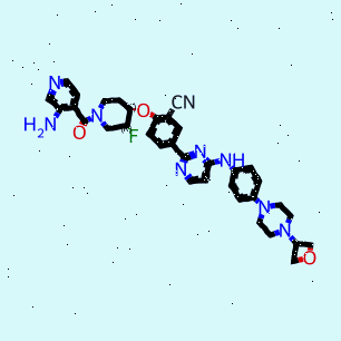 N#Cc1cc(-c2nccc(Nc3ccc(N4CCN(C5COC5)CC4)cc3)n2)ccc1O[C@H]1CCN(C(=O)c2ccncc2N)C[C@H]1F